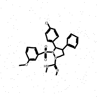 CN=C(NC)N1CC(c2ccccc2)C(c2ccc(Cl)cc2)N1S(=O)(=O)c1cccc(OC)c1